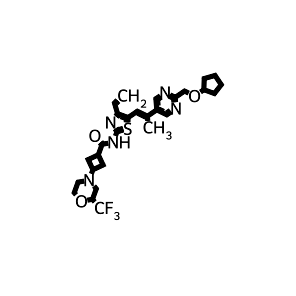 C=Cc1nc(NC(=O)C2CC(N3CCOC(C(F)(F)F)C3)C2)sc1/C=C(\C)c1cnc(COC2CCCC2)nc1